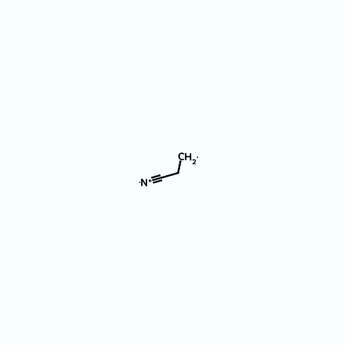 [CH2]CC#[N+]